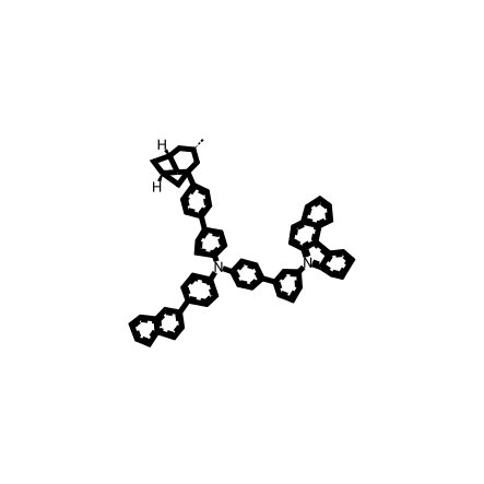 C[C@H]1C[C@H]2C[C@H]3CC(c4ccc(-c5ccc(N(c6ccc(-c7cccc(-n8c9ccccc9c9c%10ccccc%10ccc98)c7)cc6)c6ccc(-c7ccc8ccccc8c7)cc6)cc5)cc4)(C1)C23